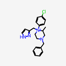 CC1CN(Cc2ccccc2)CC[N+]1(Cc1cc[nH]n1)c1ccc(Cl)cc1